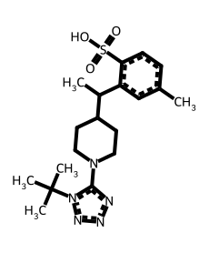 Cc1ccc(S(=O)(=O)O)c(C(C)C2CCN(c3nnnn3C(C)(C)C)CC2)c1